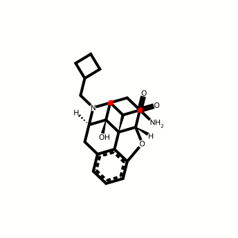 NC(=O)C1CN(CC2CCC2)[C@@H]2Cc3cccc4c3[C@]13[C@@H](O4)C(=O)CC[C@@]23O